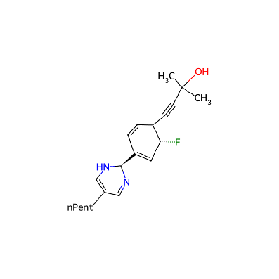 CCCCCC1=CN[C@@H](C2=C[C@@H](F)C(C#CC(C)(C)O)C=C2)N=C1